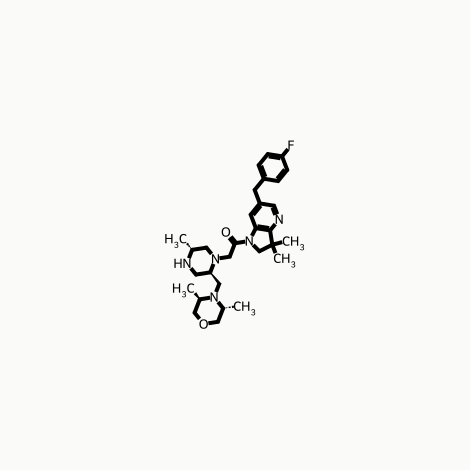 C[C@@H]1CN(CC(=O)N2CC(C)(C)c3ncc(Cc4ccc(F)cc4)cc32)[C@@H](CN2[C@H](C)COC[C@H]2C)CN1